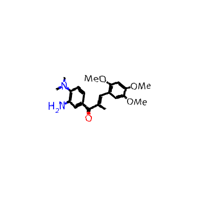 COc1cc(OC)c(OC)cc1/C=C(\C)C(=O)c1ccc(N(C)C)c(N)c1